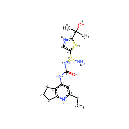 CCc1cc(NC(=O)/N=S(\N)c2cnc(C(C)(C)O)s2)c2c(n1)CCC2